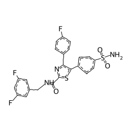 NS(=O)(=O)c1ccc(-c2sc(C(=O)NCc3cc(F)cc(F)c3)nc2-c2ccc(F)cc2)cc1